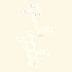 Cc1cc2c(c(C)c1Cl)C=C(C(=O)NC(CCCNC(=N)N)C(=O)O)[C@@H](C(F)(F)F)O2